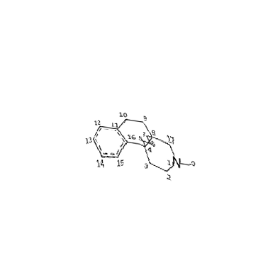 CN1CCC23CCCC2(CCc2ccccc23)C1